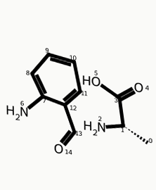 C[C@H](N)C(=O)O.Nc1ccccc1C=O